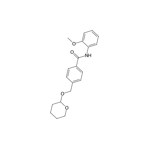 COc1ccccc1NC(=O)c1ccc(COC2CCCCO2)cc1